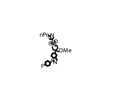 CCCn1cc(S(=O)(=O)N2CCC(COC)(c3ccc4c(cnn4-c4ccc(F)cc4)c3)CC2)cn1